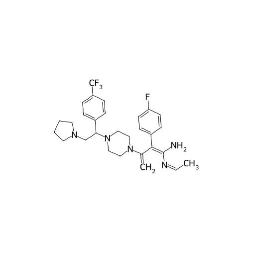 C=C(/C(=C(N)\N=C/C)c1ccc(F)cc1)N1CCN(C(CN2CCCC2)c2ccc(C(F)(F)F)cc2)CC1